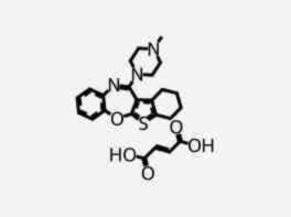 CN1CCN(C2=Nc3ccccc3Oc3sc4c(c32)CCCC4)CC1.O=C(O)/C=C/C(=O)O